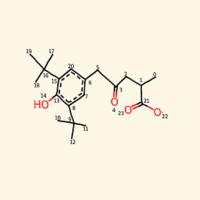 CC(CC(=O)Cc1cc(C(C)(C)C)c(O)c(C(C)(C)C)c1)C([O])=O